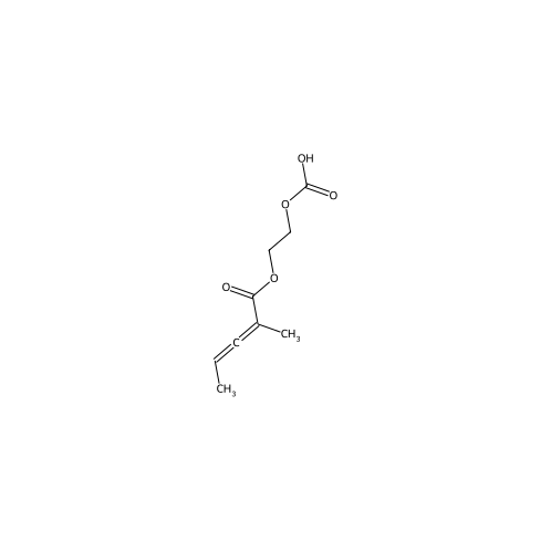 CC=C=C(C)C(=O)OCCOC(=O)O